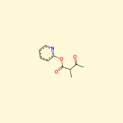 CC(=O)C(C)C(=O)Oc1ccccn1